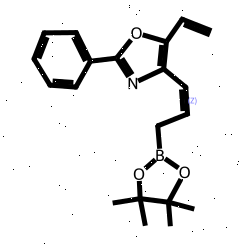 C=Cc1oc(-c2ccccc2)nc1/C=C\CB1OC(C)(C)C(C)(C)O1